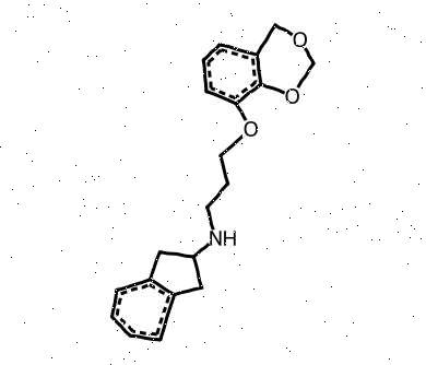 c1ccc2c(c1)CC(NCCCOc1cccc3c1OCOC3)C2